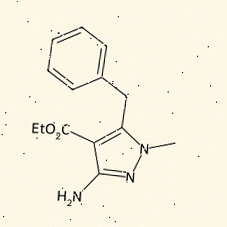 CCOC(=O)c1c(N)nn(C)c1Cc1ccccc1